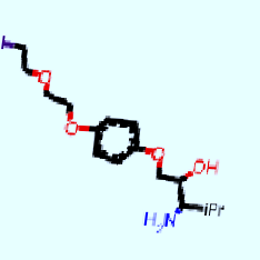 CC(C)C(N)C(O)COc1ccc(OCCOCCI)cc1